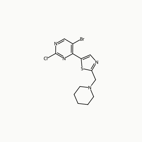 Clc1ncc(Br)c(-c2cnc(CN3CCCCC3)s2)n1